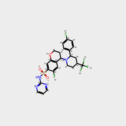 O=S(=O)(Nc1ncccn1)c1cc2c(cc1F)C(N1CCC(C(F)(F)F)CC1c1ccc(F)cc1)CCO2